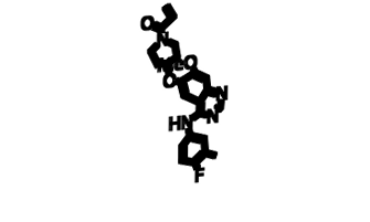 C=CC(=O)N1CCC(Oc2cc3c(Nc4ccc(F)c(C)c4)ncnc3cc2OC)CC1